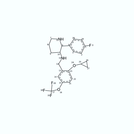 Fc1ccc(C2NCCCC2NCc2cc(OC(F)(F)F)ccc2OC2CC2)cc1